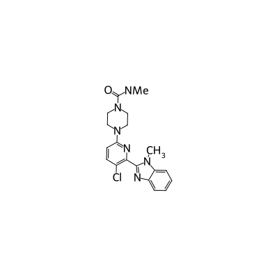 CNC(=O)N1CCN(c2ccc(Cl)c(-c3nc4ccccc4n3C)n2)CC1